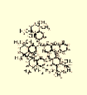 CC1(C)CCC(C)(C)c2cc(N(c3ccc4c(c3)C(C)(C)CCC4(C)C)c3cc4c5c(n3)N(c3ccc6c(c3)C(C)(C)CCC6(C)C)c3cc6c(cc3B5c3ccccc3O4)C(C)(C)CCC6(C)C)ccc21